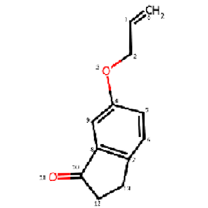 C=CCOc1ccc2c(c1)C(=O)CC2